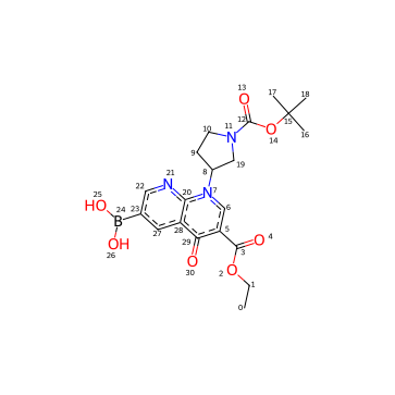 CCOC(=O)c1cn(C2CCN(C(=O)OC(C)(C)C)C2)c2ncc(B(O)O)cc2c1=O